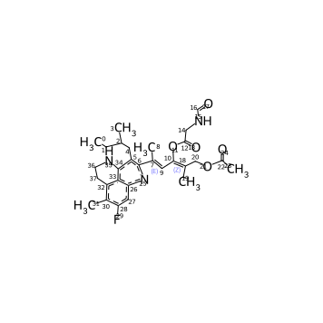 CCC(C)Cc1c(/C(C)=C/C(OC(=O)CNC=O)=C(\C)COC(C)=O)nc2cc(F)c(C)c3c2c1NCC3